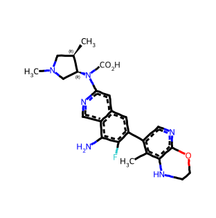 Cc1c(-c2cc3cc(N(C(=O)O)[C@H]4CN(C)C[C@H]4C)ncc3c(N)c2F)cnc2c1NCCO2